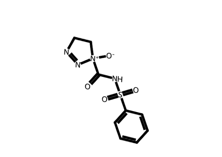 O=C(NS(=O)(=O)c1ccccc1)[N+]1([O-])CCN=N1